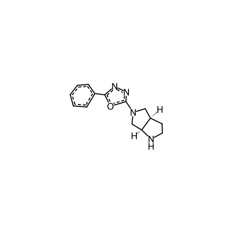 c1ccc(-c2nnc(N3C[C@H]4CCN[C@H]4C3)o2)cc1